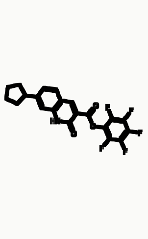 O=C(Oc1c(F)c(F)c(F)c(F)c1F)c1cc2ccc(C3CCCC3)cc2[nH]c1=O